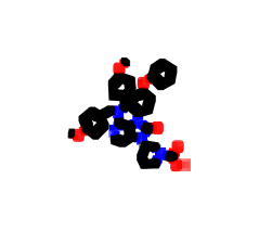 COc1ccc(CN(Cc2ccc(OC)cc2)c2nccc3c2n(-c2ccc(Oc4ccccc4)cc2)c(=O)n3[C@@H]2CCCN(C(=O)O)C2)cc1